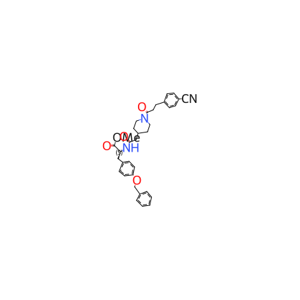 COC(=O)[C@H](Cc1ccc(OCc2ccccc2)cc1)NC(=O)CC1CCN(C(=O)CCc2ccc(C#N)cc2)CC1